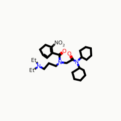 CCN(CC)CCCN(CC(=O)N(C1CCCCC1)C1CCCCC1)C(=O)C1=C([N+](=O)[O-])CCC=C1